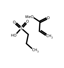 C=CC(=O)OC.CCCS(=O)(=O)O